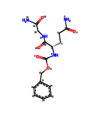 NC(=O)CC[C@H](NC(=O)OCc1ccccc1)C(=O)NCC(N)=O